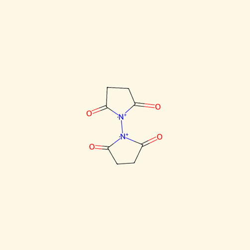 O=C1CCC(=O)[N+]1[N+]1C(=O)CCC1=O